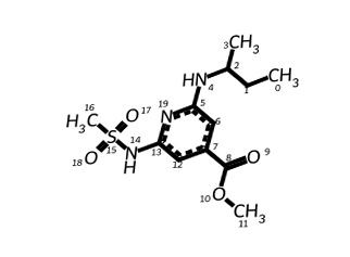 CCC(C)Nc1cc(C(=O)OC)cc(NS(C)(=O)=O)n1